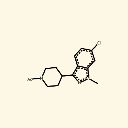 CC(=O)N1CCC(c2nn(C)c3cc(Cl)ccc23)CC1